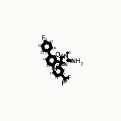 CN1C(=O)C(c2cc(C(F)F)ccn2)(c2cc(-c3ccc(F)cc3)ccc2F)N=C1N